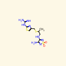 CC(CNC1=NS(=O)(=O)N=C1N)SCc1csc(NC(=N)N)n1